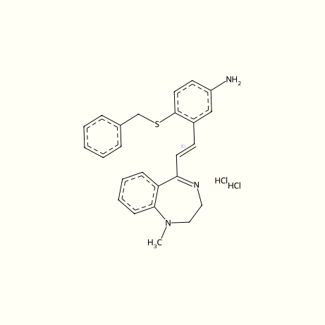 CN1CCN=C(/C=C/c2cc(N)ccc2SCc2ccccc2)c2ccccc21.Cl.Cl